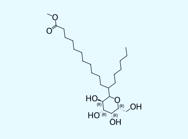 CCCCCCC(CCCCCCCCCCC(=O)OC)C1O[C@H](CO)[C@H](O)[C@H](O)[C@H]1O